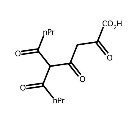 CCCC(=O)C(C(=O)CCC)C(=O)CC(=O)C(=O)O